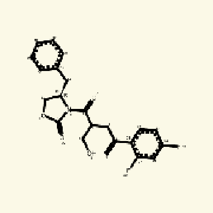 C=C(CC(CO)C(=O)N1C(=O)OC[C@H]1Cc1ccccc1)c1ccc(F)cc1F